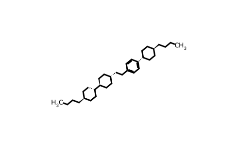 CCCC[C@H]1CC[C@H](c2ccc(CC[C@H]3CC[C@H]([C@H]4CC[C@H](CCCC)CC4)CC3)cc2)CC1